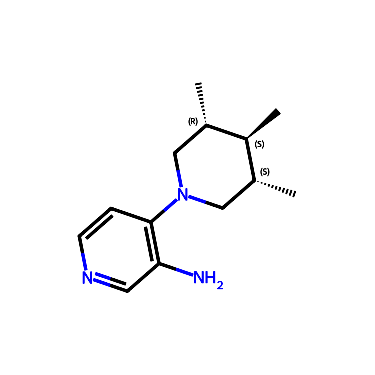 C[C@H]1[C@H](C)CN(c2ccncc2N)C[C@@H]1C